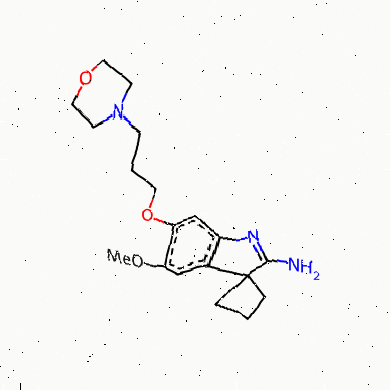 COc1cc2c(cc1OCCCN1CCOCC1)N=C(N)C21CCC1